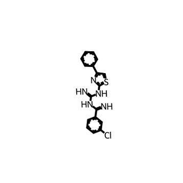 N=C(NC(=N)c1cccc(Cl)c1)Nc1nc(-c2ccccc2)cs1